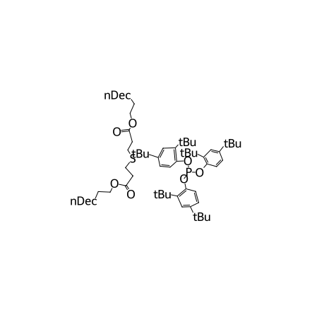 CC(C)(C)c1ccc(OP(Oc2ccc(C(C)(C)C)cc2C(C)(C)C)Oc2ccc(C(C)(C)C)cc2C(C)(C)C)c(C(C)(C)C)c1.CCCCCCCCCCCCOC(=O)CCSCCC(=O)OCCCCCCCCCCCC